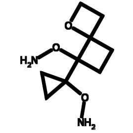 NOC1(C2(ON)CCC23CCO3)CC1